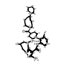 CCCCCN1CC(F)Cn2nc(N)c(C(=O)Nc3cncc(F)c3N3CCC(C(=O)N4CCC(N5CCCCC5)CC4)CC3)c21